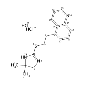 CC1(C)CN=C(SCCc2cccc3ncccc23)N1.Cl.Cl